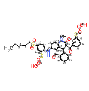 CCCCCCS(=O)(=O)c1ccc(Nc2ccc3c4c2C(=O)c2ccccc2-c4c(C(=O)c2cccc(SOOO)c2)c(=O)n3C)c(SOOO)c1